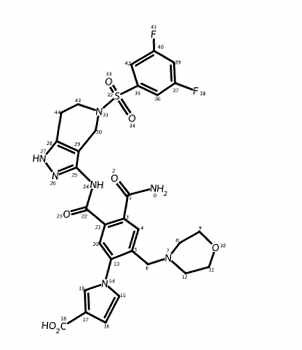 NC(=O)c1cc(CN2CCOCC2)c(-n2ccc(C(=O)O)c2)cc1C(=O)Nc1n[nH]c2c1CN(S(=O)(=O)c1cc(F)cc(F)c1)CC2